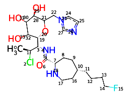 C[C@H](Cl)[C@@H](NC(=O)[C@@H]1CC[C@H](CCCCF)CCN1)[C@H]1OC(Cn2ccnc2)[C@H](O)C(O)C1O